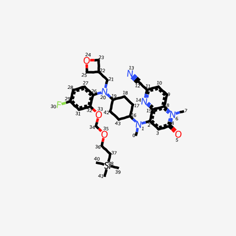 CN(c1cc(=O)n(C)c2ccc(C#N)nc12)C1CCC(N(CC2COC2)c2ccc(F)cc2OCOCC[Si](C)(C)C)CC1